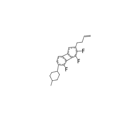 C=CCCc1cc2c(c(F)c1F)-c1c-2ccc(C2CCC(C)CC2)c1F